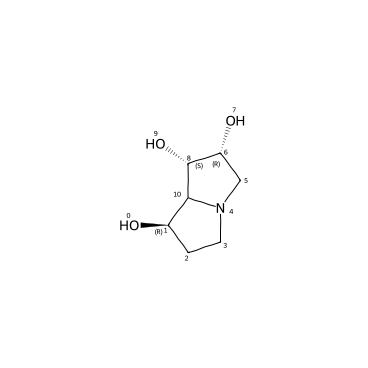 O[C@@H]1CCN2C[C@@H](O)[C@@H](O)C12